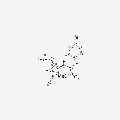 COC(=O)C(Cc1ccc(O)cc1)N[C@H]1CC(=O)N[C@H]1CC(=O)O